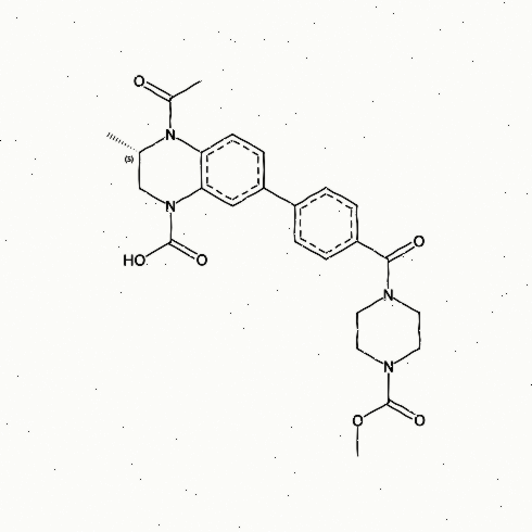 COC(=O)N1CCN(C(=O)c2ccc(-c3ccc4c(c3)N(C(=O)O)C[C@H](C)N4C(C)=O)cc2)CC1